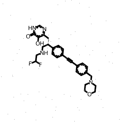 O=c1[nH]cnc(C[C@@H](CNCC(F)F)c2ccc(C#Cc3ccc(CN4CCOCC4)cc3)cc2)c1O